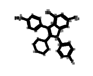 O=C(O)c1ccc(-c2c(C3CCOCC3)n(-c3ccc(F)cc3)c3cc(C(F)(F)F)cc(O)c23)cc1